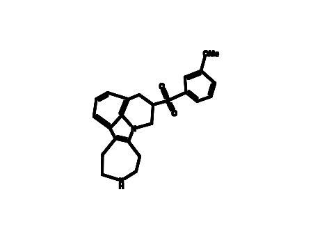 COc1cccc(S(=O)(=O)C2Cc3cccc4c5c(n(c34)C2)CCNCC5)c1